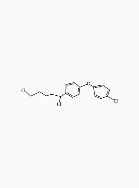 ClCCCCC(Cl)c1ccc(Oc2ccc(Cl)cc2)cc1